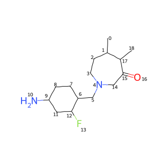 CC1CCN(CC2CCC(N)CC2F)CC(=O)C1C